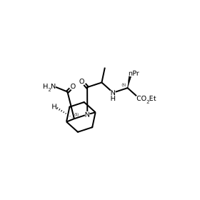 CCC[C@H](NC(C)C(=O)N1C2CCC(CC2)[C@H]1C(N)=O)C(=O)OCC